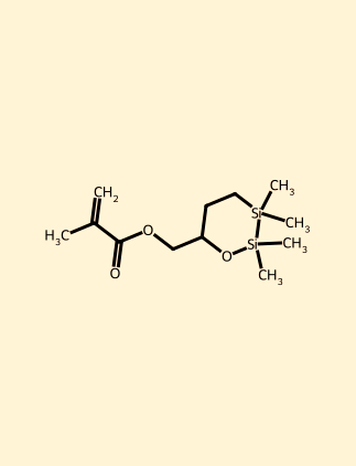 C=C(C)C(=O)OCC1CC[Si](C)(C)[Si](C)(C)O1